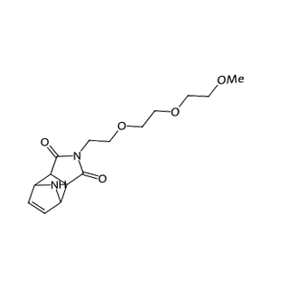 COCCOCCOCCN1C(=O)C2C3C=CC(N3)C2C1=O